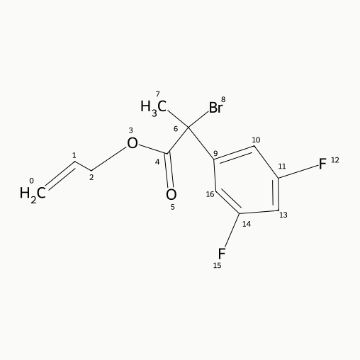 C=CCOC(=O)C(C)(Br)c1cc(F)cc(F)c1